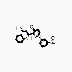 C[S+]([O-])c1cccc(-n2ccc(=O)c(/C(=C/C=N)Nc3ccccc3)n2)c1